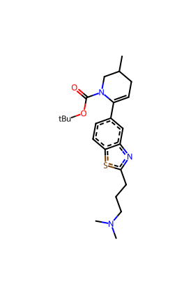 CC1CC=C(c2ccc3sc(CCCN(C)C)nc3c2)N(C(=O)OC(C)(C)C)C1